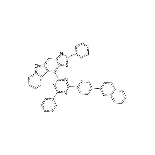 c1ccc(-c2nc(-c3ccc(-c4ccc5ccccc5c4)cc3)nc(-c3c4sc(-c5ccccc5)nc4cc4oc5ccccc5c34)n2)cc1